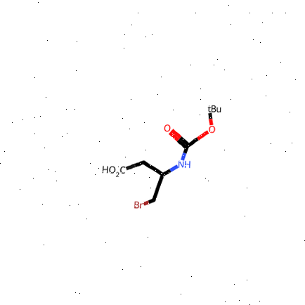 CC(C)(C)OC(=O)NC(CBr)CC(=O)O